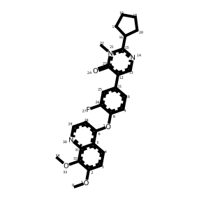 COc1ccc2c(Oc3ccc(-c4cnc(C5CCCC5)n(C)c4=O)cc3F)ccnc2c1OC